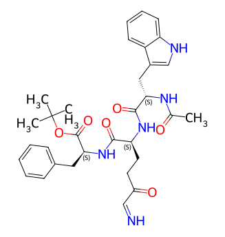 CC(=O)N[C@@H](Cc1c[nH]c2ccccc12)C(=O)N[C@@H](CCC(=O)C=N)C(=O)N[C@@H](Cc1ccccc1)C(=O)OC(C)(C)C